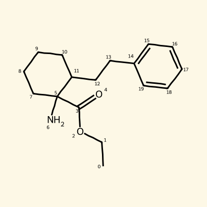 CCOC(=O)C1(N)CCCCC1CCc1ccccc1